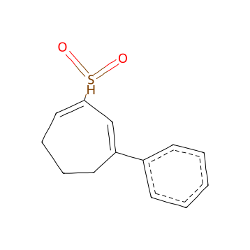 O=[SH](=O)C1=CCCCC(c2ccccc2)=C1